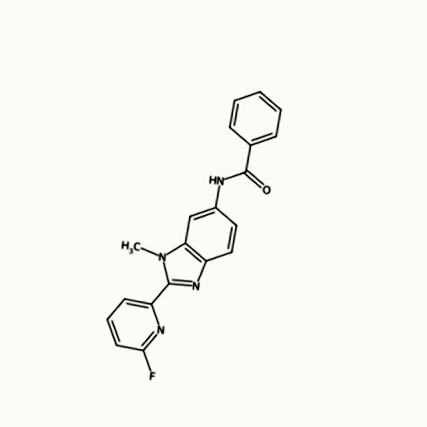 Cn1c(-c2cccc(F)n2)nc2ccc(NC(=O)c3ccccc3)cc21